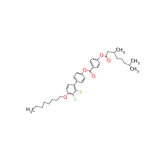 CCCCCCCCOc1ccc(-c2ccc(OC(=O)c3ccc(OC(=O)CC(C)CCCC(C)C)cc3)cc2)c(F)c1F